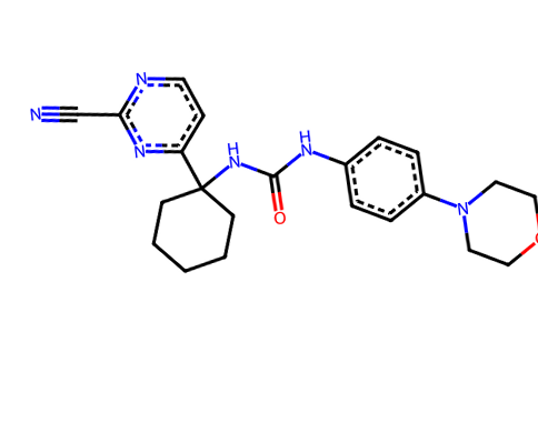 N#Cc1nccc(C2(NC(=O)Nc3ccc(N4CCOCC4)cc3)CCCCC2)n1